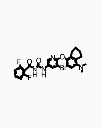 CN(C)c1ccc(Oc2ncc(NC(=O)NC(=O)c3c(F)cccc3F)cc2Br)c2c1CCCC2